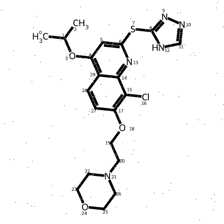 CC(C)Oc1cc(Sc2nnc[nH]2)nc2c(Cl)c(OCCN3CCOCC3)ccc12